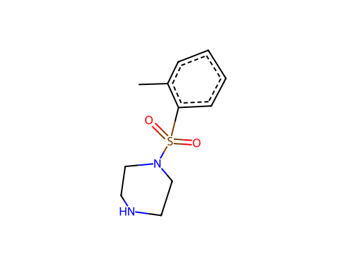 Cc1ccccc1S(=O)(=O)N1CCNCC1